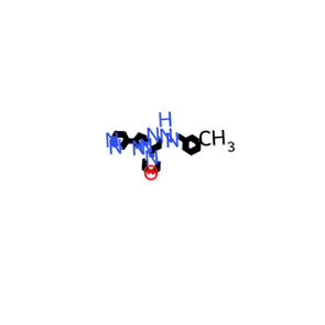 Cc1cccc(/C=N/Nc2cc(N3CCOCC3)n3nc(-c4ccnnc4)cc3n2)c1